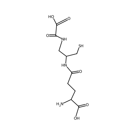 NC(CCC(=O)NC(CS)CNC(=O)C(=O)O)C(=O)O